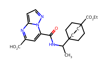 CCOC(=O)C12CCC(C(C)NC(=O)c3cc(C(=O)O)nc4ccnn34)(CC1)CC2